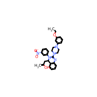 C=C(O)CC1c2ccccc2N=C(N2CCN(c3cccc(OCC)c3)CC2)N1c1cccc([N+](=O)[O-])c1